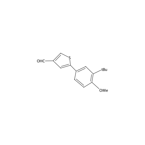 COc1ccc(-c2cc(C=O)cs2)cc1C(C)(C)C